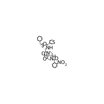 O=C(N[C@@H](CSCc1ccccc1)C(=O)N1CC[C@@H]2[C@H]1C(=O)CN2C(=O)c1ccccc1[N+](=O)[O-])c1ccsc1